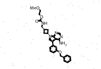 COCCOC(=O)NC[C@H]1C[C@H](n2cc(-c3cccc(OCc4ccccc4)c3)c3c(N)ncnc32)C1